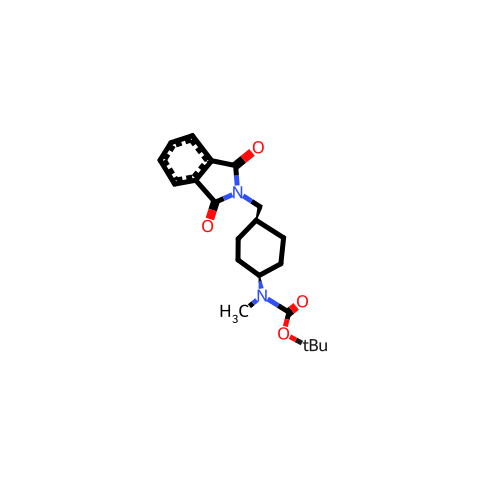 CN(C(=O)OC(C)(C)C)[C@H]1CC[C@@H](CN2C(=O)c3ccccc3C2=O)CC1